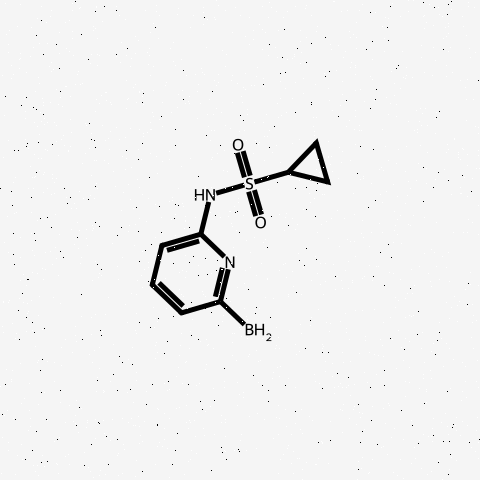 Bc1cccc(NS(=O)(=O)C2CC2)n1